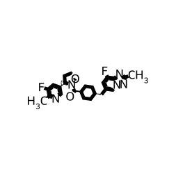 Cc1nc2c(F)cc(C[C@H]3CC[C@H](C(=O)N4OCC[C@H]4c4cnc(C)c(F)c4)CC3)cn2n1